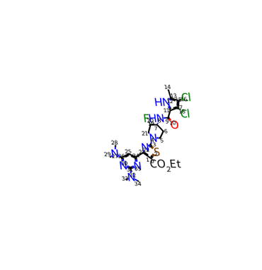 CCOC(=O)c1sc(N2CC[C@@H](NC(=O)c3[nH]c(C)c(Cl)c3Cl)[C@@H](F)C2)nc1-c1cc(N(C)C)nc(N(C)C)n1